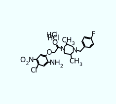 CC1CN(C(=O)COc2cc([N+](=O)[O-])c(Cl)cc2N)C(C)CN1Cc1ccc(F)cc1.Cl.Cl